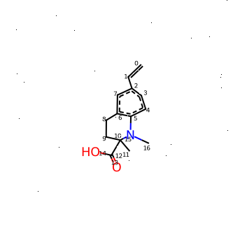 C=Cc1ccc2c(c1)CCC(C)(C(=O)O)N2C